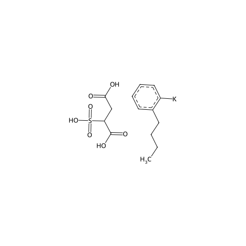 CCCCc1cccc[c]1[K].O=C(O)CC(C(=O)O)S(=O)(=O)O